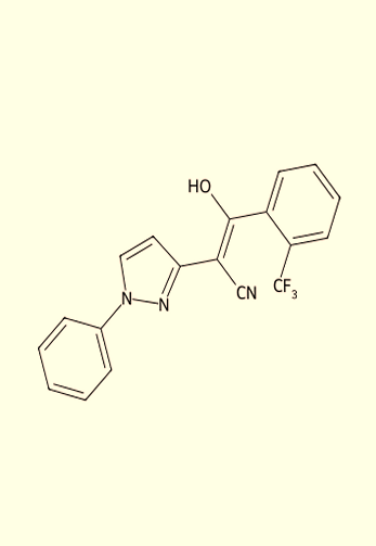 N#CC(=C(O)c1ccccc1C(F)(F)F)c1ccn(-c2ccccc2)n1